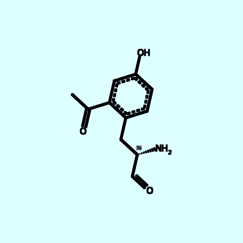 CC(=O)c1cc(O)ccc1C[C@H](N)C=O